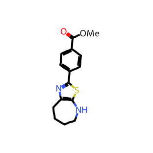 COC(=O)c1ccc(-c2nc3c(s2)NCCCC3)cc1